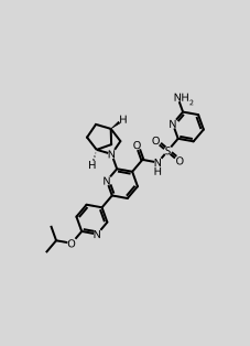 CC(C)Oc1ccc(-c2ccc(C(=O)NS(=O)(=O)c3cccc(N)n3)c(N3C[C@H]4CC[C@H]3C4)n2)cn1